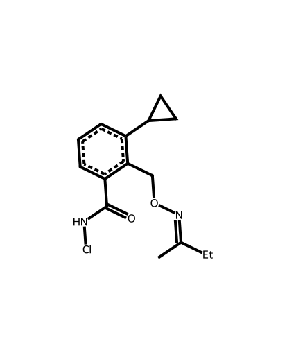 CCC(C)=NOCc1c(C(=O)NCl)cccc1C1CC1